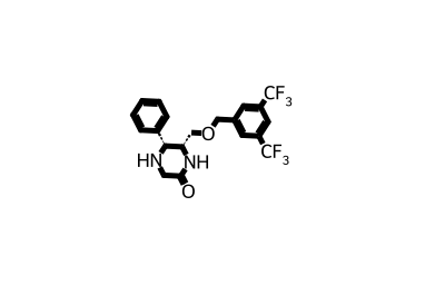 O=C1CN[C@H](c2ccccc2)[C@H](COCc2cc(C(F)(F)F)cc(C(F)(F)F)c2)N1